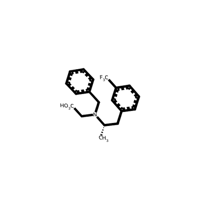 C[C@@H](Cc1cccc(C(F)(F)F)c1)N(CC(=O)O)Cc1ccccc1